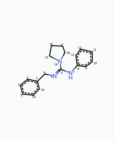 c1ccc(CN=C(Nc2ccccc2)N2CCCC2)cc1